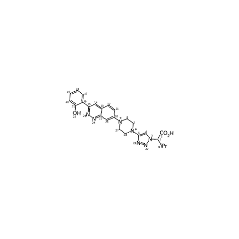 CC(C)C(C(=O)O)n1cc(N2CCN(c3ccc4cc(-c5ccccc5O)nnc4c3)CC2)nn1